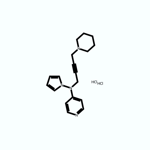 C(#CCN(c1ccncc1)n1cccc1)CN1CCCCC1.Cl.Cl